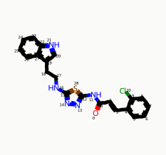 O=C(C=Cc1ccccc1Cl)Nc1nnc(NCCc2c[nH]c3ccccc23)s1